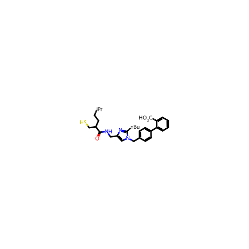 CCCCc1nc(CNC(=O)C(CS)CCC(C)C)cn1Cc1ccc(-c2ccccc2C(=O)O)cc1